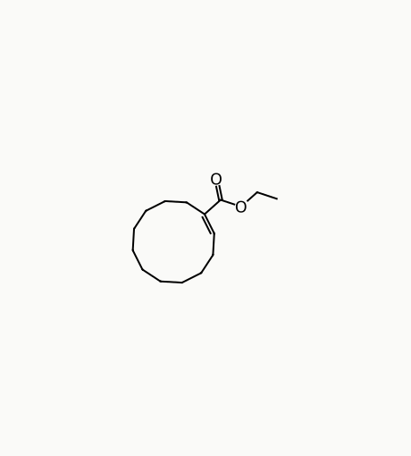 CCOC(=O)/C1=C/CCCCCCCCCC1